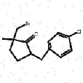 CC1(CBr)CCC(Cc2ccc(Cl)cc2)C1=O